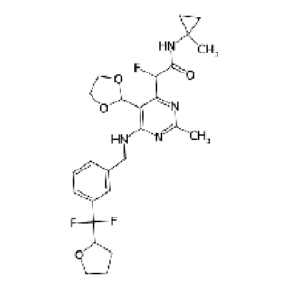 Cc1nc(NCc2cccc(C(F)(F)C3CCCO3)c2)c(C2OCCO2)c(C(F)C(=O)NC2(C)CC2)n1